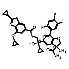 C[C@]1(C(N)=O)COc2c1cc([C@@](O)(CNC(=O)c1cc(OC3CC3)c3nc(C4CC4)sc3c1)C1CC1)nc2-c1cc(F)c(F)cc1F